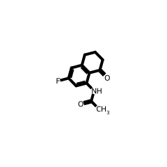 CC(=O)Nc1cc(F)cc2c1C(=O)CCC2